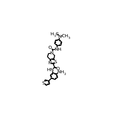 CN(C)c1ccc(NC(=O)N2CCc3nc(C(=O)Nc4cc(-c5ccsc5)ccc4N)sc3C2)cc1